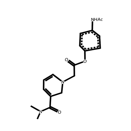 CC(=O)Nc1ccc(OC(=O)CN2C=CC=C(C(=O)N(C)C)C2)cc1